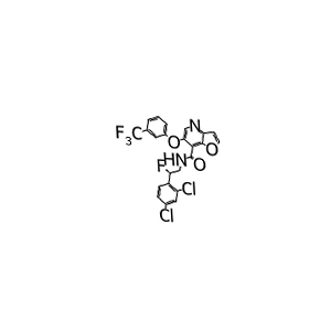 O=C(NC[C@H](F)c1ccc(Cl)cc1Cl)c1c(Oc2cccc(C(F)(F)F)c2)cnc2ccoc12